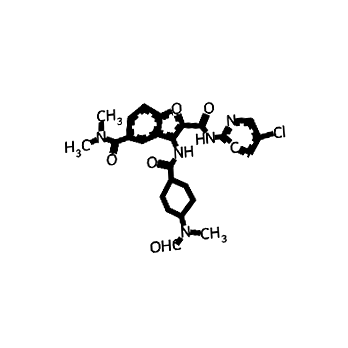 CN(C)C(=O)c1ccc2oc(C(=O)Nc3ccc(Cl)cn3)c(NC(=O)C3CCC(N(C)C=O)CC3)c2c1